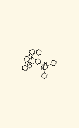 c1ccc(-c2cc(-c3ccccc3)nc(-c3cc(-c4ccccc4)c(-n4c5ccccc5c5ccc6c7ccccc7sc6c54)c(-c4ccccc4)c3)n2)cc1